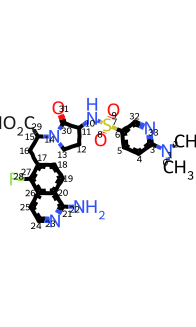 CN(C)c1ccc(S(=O)(=O)NC2CCN(C(Cc3ccc4c(N)nccc4c3F)C(=O)O)C2=O)cn1